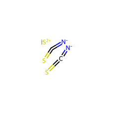 [N-]=C=S.[N-]=C=S.[S+2]